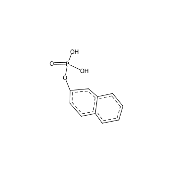 O=P(O)(O)Oc1ccc2ccccc2c1